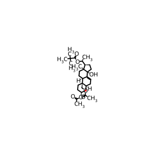 CC(=O)OC[C@]12CC[C@H](OC(C)=O)C[C@@H]1CC=C1[C@@H]2CC[C@]2(C)[C@@H]([C@H](C)OC(=O)C(C)(C)C)CC[C@]12O